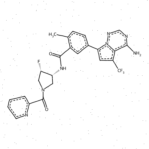 Cc1ccc(-c2cc(C(F)(F)F)c3c(N)ncnn23)cc1C(=O)N[C@@H]1CN(C(=O)c2ccccn2)C[C@@H]1F